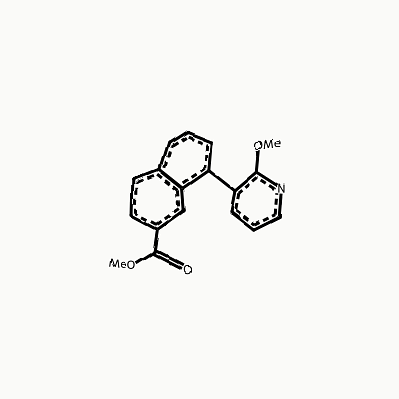 COC(=O)c1ccc2cccc(-c3cccnc3OC)c2c1